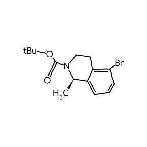 C[C@@H]1c2cccc(Br)c2CCN1C(=O)OC(C)(C)C